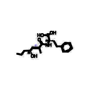 CCC[C@@H](O)/C=C(\C)C(=O)N[C@@H](CCc1ccccc1)B(O)O